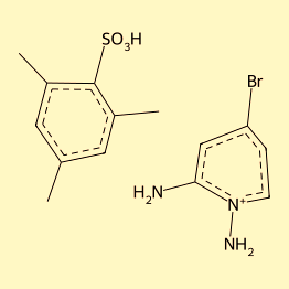 Cc1cc(C)c(S(=O)(=O)O)c(C)c1.Nc1cc(Br)cc[n+]1N